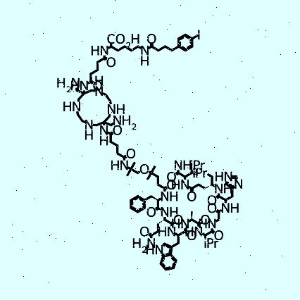 CC(C)CC(NC(=O)CC[C@H](CC(C)C)NC(=O)C(Cc1c[nH]cn1)NC(=O)CNC(=O)C(NC(=O)[C@H](C)NC(=O)C(Cc1c[nH]c2ccccc12)NC(=O)[C@H](CCC(N)=O)NC(=O)[C@@H](Cc1ccccc1)NC(=O)CCC(C)(C)OCC(C)(C)NC(=O)CCCC(=O)NC1(CN)CNCCNCC(CN)(NC(=O)CCCC(=O)NC(CCCCNC(=O)CCCc2ccc(I)cc2)C(=O)O)CNCCNC1)C(C)C)C(N)=O